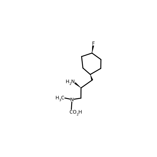 CN(C[C@@H](N)C[C@H]1CC[C@@H](F)CC1)C(=O)O